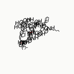 CCCCCCCNC(=O)Oc1cc(O)c2c(c1)[C@@H](C(=O)CC1C3CC4CC(C3)CC1C4)NC(=O)[C@H]1NC(=O)[C@H](CC(=O)[C@@H]3NC(=O)[C@H](CC(=O)NC)CC(=O)[C@H](NC(=O)[C@H](CC)CC(C)C)[C@H](O)c4ccc(c(Cl)c4)Oc4cc3cc(c4O[C@@H]3O[C@H](CO)[C@@H](O)[C@H](O)[C@H]3O)Oc3ccc(cc3Cl)[C@H]1O)c1ccc(O)c-2c1